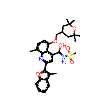 Cc1c(-c2cc(C(O)NS(C)(=O)=O)c3c(OCC4CC(C)(C)OC(C)(C)C4)ccc(C)c3n2)oc2ccccc12